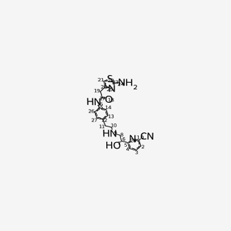 N#Cc1cccc([C@H](O)CNCCc2ccc(NC(=O)Cc3csc(N)n3)cc2)n1